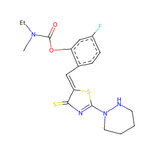 CCN(C)C(=O)Oc1cc(F)ccc1C=C1SC(N2CCCCN2)=NC1=S